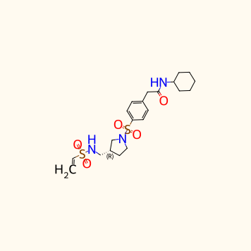 C=CS(=O)(=O)NC[C@H]1CCN(S(=O)(=O)c2ccc(CC(=O)NC3CCCCC3)cc2)C1